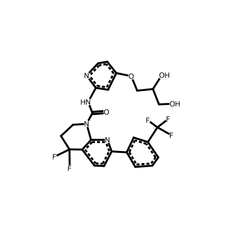 O=C(Nc1cc(OCC(O)CO)ccn1)N1CCC(F)(F)c2ccc(-c3cccc(C(F)(F)F)c3)nc21